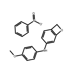 COc1ccc(Nc2ccc3c(c2)OC3)cc1.O=[N+]([O-])c1ccccc1